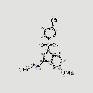 CCCCc1ccc(S(=O)(=O)n2cc(/C=C/C=O)c3cc(OC)ccc32)cc1